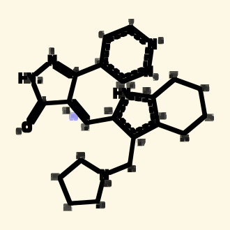 O=C1NN=C(c2ccnnc2)/C1=C\c1[nH]c2c(c1CN1CCCC1)CCCC2